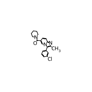 Cc1nc2ccc(C(=O)N3CCCCC3)cn2c1-c1cccc(Cl)c1